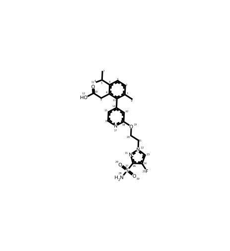 Cc1ccc(C(C)C)c(CC(=O)O)c1-c1ccnc(OCCn2cc(F)c(S(N)(=O)=O)n2)c1